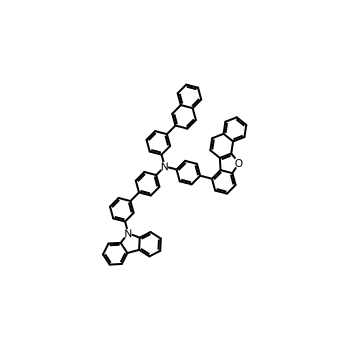 c1cc(-c2ccc3ccccc3c2)cc(N(c2ccc(-c3cccc(-n4c5ccccc5c5ccccc54)c3)cc2)c2ccc(-c3cccc4oc5c6ccccc6ccc5c34)cc2)c1